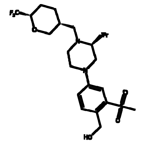 CC(C)[C@H]1CN(c2ccc(CO)c(S(C)(=O)=O)c2)CCN1C[C@H]1CC[C@@H](C(F)(F)F)OC1